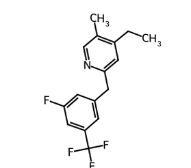 CCc1cc(Cc2cc(F)cc(C(F)(F)F)c2)ncc1C